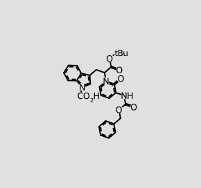 CC(C)(C)OC(=O)C(Cc1cn(C(=O)O)c2ccccc12)n1cccc(NC(=O)OCc2ccccc2)c1=O